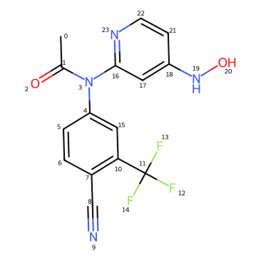 CC(=O)N(c1ccc(C#N)c(C(F)(F)F)c1)c1cc(NO)ccn1